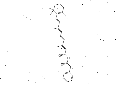 CC1=C(/C=C/C(C)=C/C=C/C(C)=C/C(=O)OC(=O)Cc2ccccc2)C(C)(C)CCC1